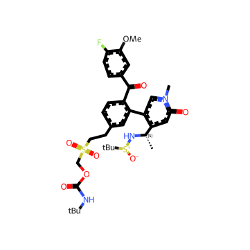 COc1cc(C(=O)c2ccc(CCS(=O)(=O)COC(=O)NC(C)(C)C)cc2-c2cn(C)c(=O)cc2[C@H](C)N[S+]([O-])C(C)(C)C)ccc1F